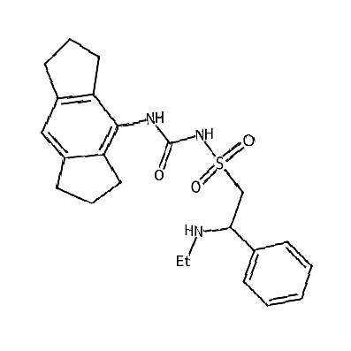 CCNC(CS(=O)(=O)NC(=O)Nc1c2c(cc3c1CCC3)CCC2)c1ccccc1